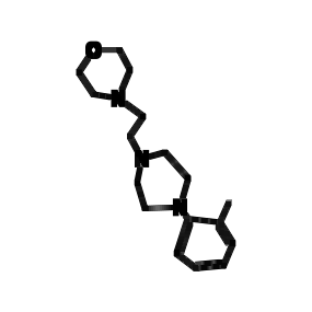 Cc1ccccc1N1CCN(CCN2CCOCC2)CC1